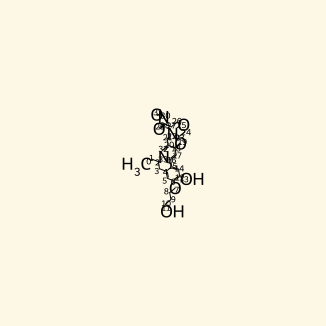 CCC1Cc2cc(OCCCO)c(O)cc2-c2cc(=O)c(CN3CCOCC3C(=O)N=O)cn21